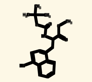 COC(=O)C(Cc1ccc(O)c2ccccc12)NC(=O)OC(C)(C)C